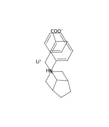 O=C([O-])c1cccc(NC2C3CCC2CN(Cc2ccccc2)C3)c1.[Li+]